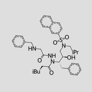 CC[C@H](C)CC(=O)N(NC(=O)CNCc1ccccc1)[C@@H](Cc1ccccc1)[C@H](O)CN(CC(C)C)S(=O)(=O)c1ccc2ccccc2c1